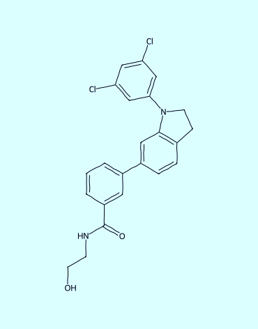 O=C(NCCO)c1cccc(-c2ccc3c(c2)N(c2cc(Cl)cc(Cl)c2)CC3)c1